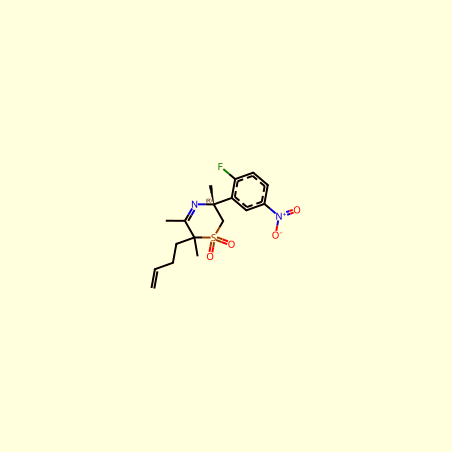 C=CCCC1(C)C(C)=N[C@](C)(c2cc([N+](=O)[O-])ccc2F)CS1(=O)=O